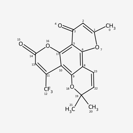 Cc1cc(=O)c2c(o1)c1c(c3c(C(F)(F)F)[c]c(=O)oc32)OC(C)(C)C=C1